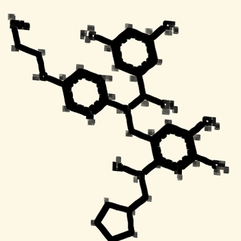 CCN(CC1CCCC1)c1nc(C)c(C)cc1CN(c1ncc(OCCSC)cn1)C(C)c1cc(C(F)(F)F)cc(C(F)(F)F)c1